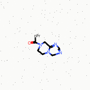 CCCC(=O)N1CCN2CN=CN=C2C1